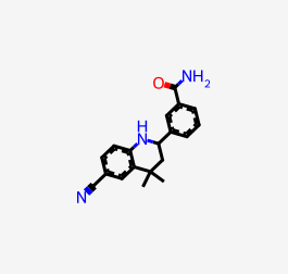 CC1(C)CC(c2cccc(C(N)=O)c2)Nc2ccc(C#N)cc21